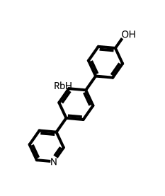 Oc1ccc(-c2ccc(-c3cccnc3)cc2)cc1.[RbH]